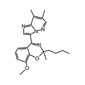 CCCCC1(C)N=C(c2cnc3c(C)c(C)cnn23)c2cccc(OC)c2O1